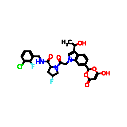 CC(O)c1cn(CC(=O)N2C[C@H](F)C[C@H]2C(=O)NCc2cccc(Cl)c2F)c2cc(C3OC(=O)C=C(O)O3)ccc12